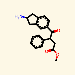 COC(=O)CC(C(=O)c1ccc2c(c1)CC(N)C2)c1ccccc1